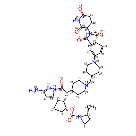 C[C@H]1CCN1C(=O)O[C@@H]1CC[C@H](c2cc(N)nn2C(=O)CC2CCN(CC3CCN(c4ccc5c(c4)C(=O)N(C4CCC(=O)NC4=O)C5=O)CC3)CC2)C1